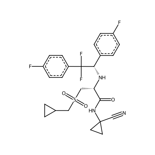 N#CC1(NC(=O)[C@H](CS(=O)(=O)CC2CC2)N[C@@H](c2ccc(F)cc2)C(F)(F)c2ccc(F)cc2)CC1